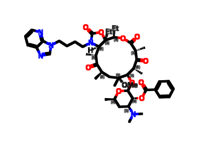 CC[C@H]1OC(=O)[C@H](C)C(=O)[C@H](C)[C@@H](OC2O[C@H](C)C[C@H](N(C)C)[C@H]2OC(=O)c2ccccc2)[C@@](C)(OC)C[C@@H](C)C(=O)[C@H](C)[C@H]2N(CCCCn3cnc4cccnc43)C(=O)O[C@]12CC